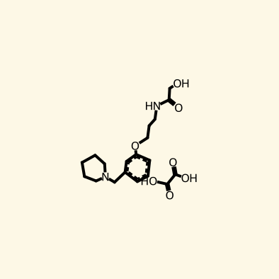 O=C(CO)NCCCOc1cccc(CN2CCCCC2)c1.O=C(O)C(=O)O